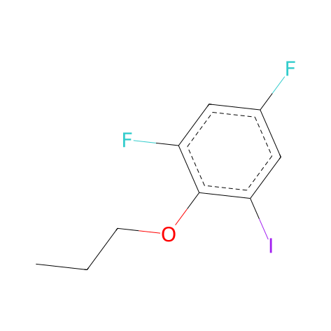 CCCOc1c(F)cc(F)cc1I